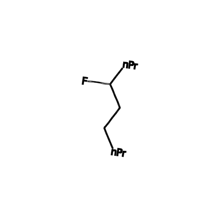 CCCCCC(F)CCC